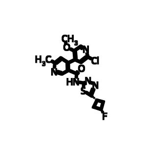 COc1cnc(Cl)cc1-c1cc(C)ncc1C(=O)Nc1nnc([C@H]2C[C@H](F)C2)s1